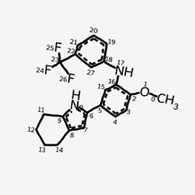 COc1ccc(-c2cc3c([nH]2)CCCC3)cc1Nc1cccc(C(F)(F)F)c1